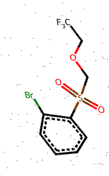 O=S(=O)(COCC(F)(F)F)c1ccccc1Br